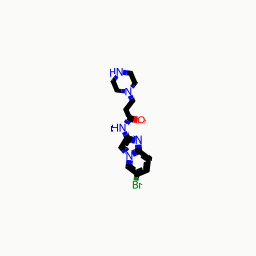 O=C(CCN1CCNCC1)Nc1cn2cc(Br)ccc2n1